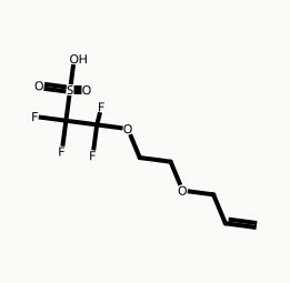 C=CCOCCOC(F)(F)C(F)(F)S(=O)(=O)O